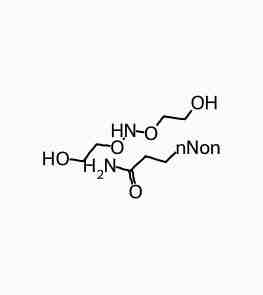 CCCCCCCCCCCC(N)=O.OCCONOCCO